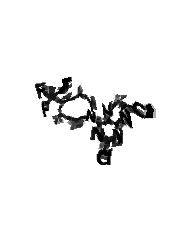 FC(F)(F)C1CCN(c2nc(Cl)nc3nc(Cl)cnc23)CC1